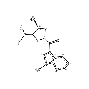 CCN(CC)[C@@H]1CN(C(=O)c2nn(C)c3ccccc23)C[C@@H]1C